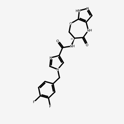 O=C(N[C@H]1COc2[nH]ncc2NC1=O)c1cn(Cc2ccc(F)c(F)c2)cn1